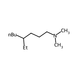 CCCCC(CC)CCCN(C)C